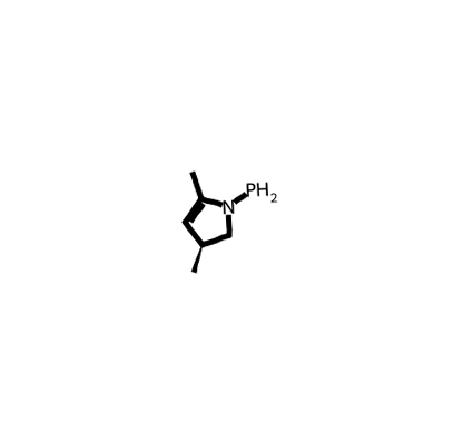 CC1=C[C@H](C)CN1P